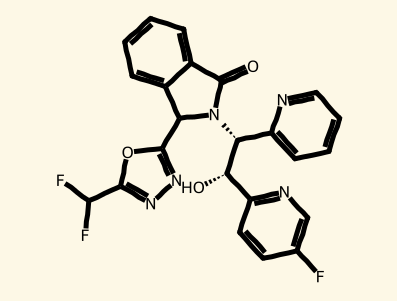 O=C1c2ccccc2C(c2nnc(C(F)F)o2)N1[C@H](c1ccccn1)[C@@H](O)c1ccc(F)cn1